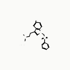 CN(C)CCc1cn(CS(=O)(=O)c2ccccc2)c2ccc(Cl)cc12.Cl